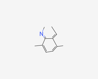 C/C=C1/C(C)=CC=C(C)/C1=N/C